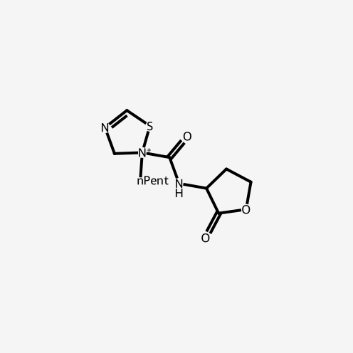 CCCCC[N+]1(C(=O)NC2CCOC2=O)CN=CS1